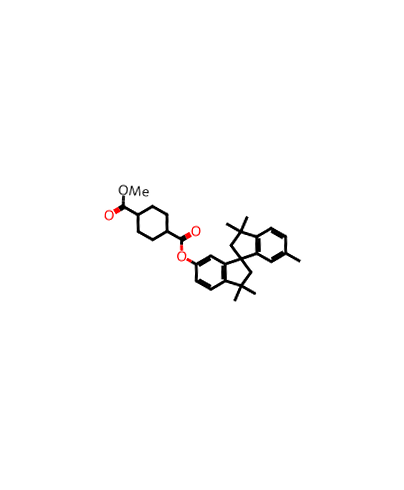 COC(=O)C1CCC(C(=O)Oc2ccc3c(c2)C2(CC(C)(C)c4ccc(C)cc42)CC3(C)C)CC1